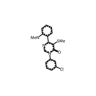 CNc1ccccc1-c1ncn(-c2cccc(Cl)c2)c(=O)c1SC